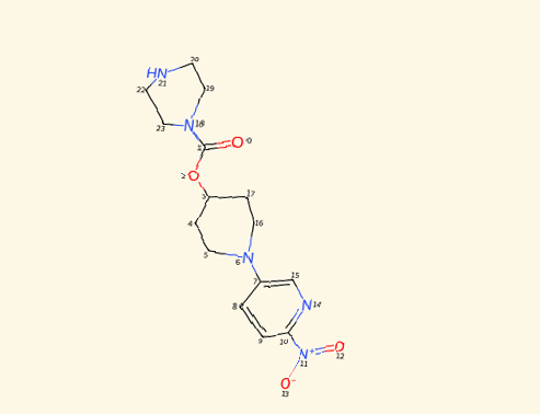 O=C(OC1CCN(c2ccc([N+](=O)[O-])nc2)CC1)N1CCNCC1